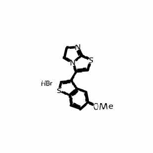 Br.COc1ccc2scc(C3=CSC4=NCCN34)c2c1